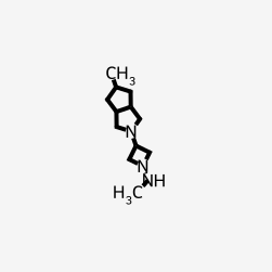 CNN1CC(N2CC3CC(C)CC3C2)C1